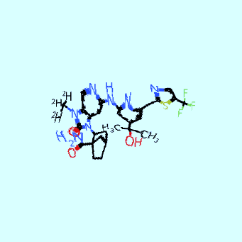 [2H]C([2H])([2H])n1c(=O)n(C2CC3CCC2(C(N)=O)C3)c2cc(Nc3cc(C(C)(C)O)cc(-c4ncc(C(F)(F)F)s4)n3)ncc21